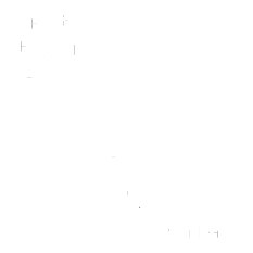 CCCCCOC12CCC(c3ccc(S(F)(F)(F)(F)F)cc3)(CC1)CC2